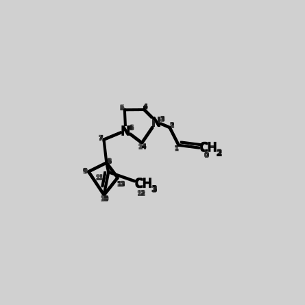 C=CCN1CCN(CC23CC(=C2C)C3)C1